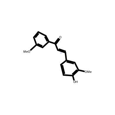 COc1cccc(C(=O)/C=C/c2ccc(O)c(OC)c2)c1